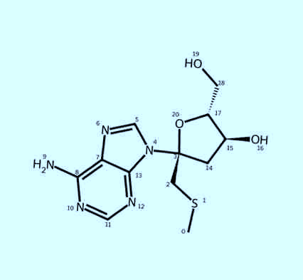 CSC[C@]1(n2cnc3c(N)ncnc32)C[C@H](O)[C@@H](CO)O1